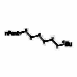 [CH2]C(CC)CCCCCCCCCCC